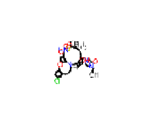 C#CCN1CCN(C[C@]2(O)CCC[C@H](C)[C@@H](C)S(=O)(=O)NC(=O)c3ccc4c(c3)N(CCCCc3cc(Cl)ccc3CO4)C[C@@H]3CC[C@H]32)CC1=O